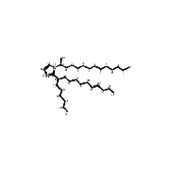 CCCCCCCCCCCCC(C)n1ccnc1C(CCCCCC)CCCCCCCCCC